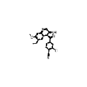 CCc1cc2c(cc1OC)ncc1[nH]nc(-c3ccc(C#N)c(Cl)c3)c12